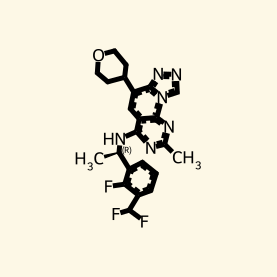 Cc1nc(N[C@H](C)c2cccc(C(F)F)c2F)c2cc(C3CCOCC3)c3nncn3c2n1